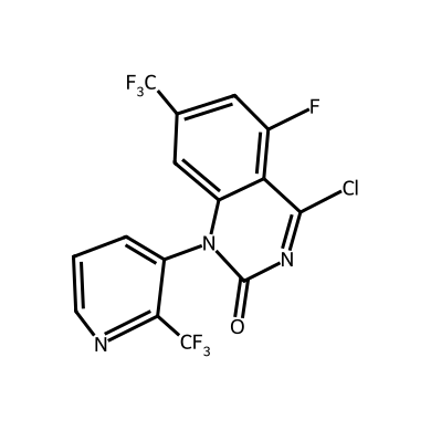 O=c1nc(Cl)c2c(F)cc(C(F)(F)F)cc2n1-c1cccnc1C(F)(F)F